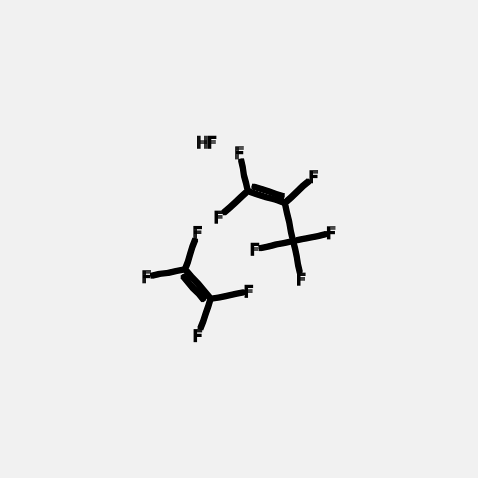 F.FC(F)=C(F)C(F)(F)F.FC(F)=C(F)F